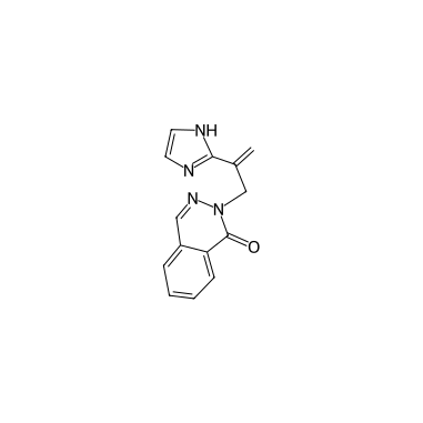 C=C(Cn1ncc2ccccc2c1=O)c1ncc[nH]1